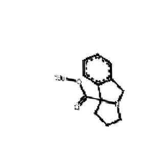 CC(C)(C)OC(=O)C12CCCN1Cc1ccccc12